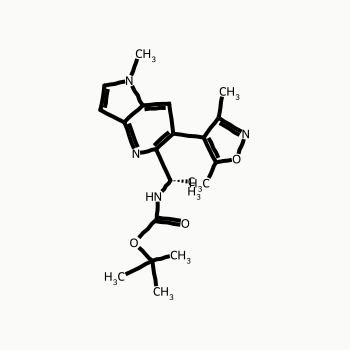 Cc1noc(C)c1-c1cc2c(ccn2C)nc1[C@H](C)NC(=O)OC(C)(C)C